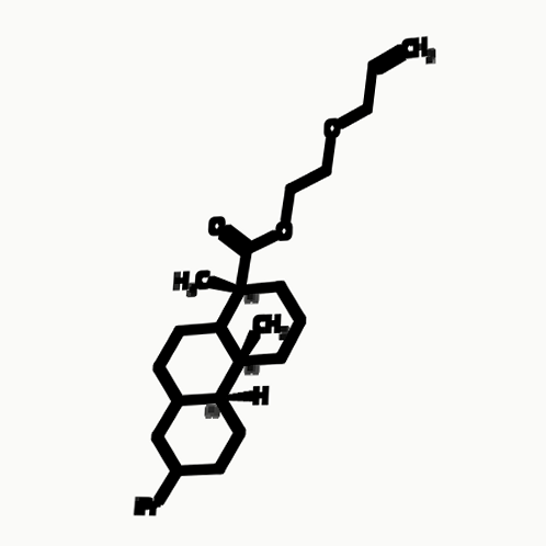 C=CCOCCOC(=O)[C@]1(C)CCC[C@@]2(C)C1CCC1CC(C(C)C)CC[C@@H]12